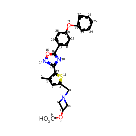 Cc1cc(CN2CC(OC(=O)O)C2)sc1-c1noc(-c2ccc(Oc3ccccc3)cc2)n1